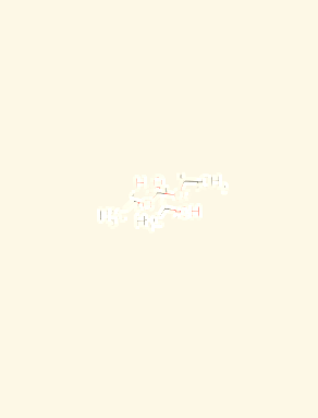 CCO.CCOCOCC.O